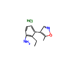 CCc1c(N)cccc1-c1cnoc1C.Cl